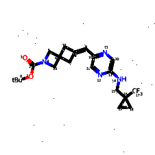 CC(C)(C)OC(=O)N1CC2(CC(=Cc3cnc(NCC4(C(F)(F)F)CC4)cn3)C2)C1